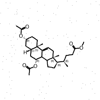 COC(=O)CC[C@@H](C)[C@H]1CCC2C3C(=CC[C@@]21C)[C@@]1(C)CC[C@@H](OC(C)=O)C[C@H]1C[C@H]3OC(C)=O